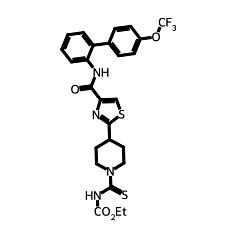 CCOC(=O)NC(=S)N1CCC(c2nc(C(=O)Nc3ccccc3-c3ccc(OC(F)(F)F)cc3)cs2)CC1